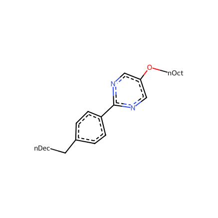 CCCCCCCCCCCc1ccc(-c2ncc(OCCCCCCCC)cn2)cc1